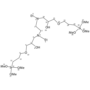 CCN(CCN(CC)CC(O)COCCC[Si](OC)(OC)OC)CC(O)COCCC[Si](OC)(OC)OC